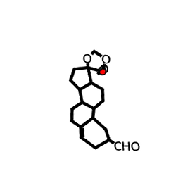 O=CC1CC=C2CCC3C(CCC4C3CCC43OCOC34COCO4)C2C1